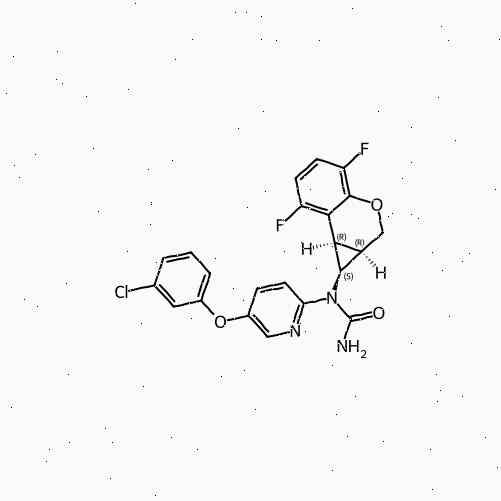 NC(=O)N(c1ccc(Oc2cccc(Cl)c2)cn1)[C@@H]1[C@@H]2COc3c(F)ccc(F)c3[C@@H]21